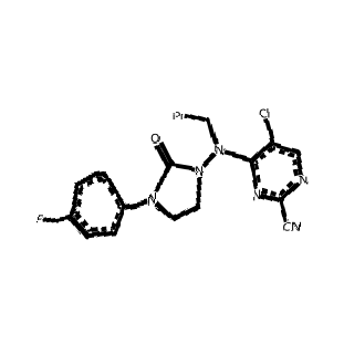 CC(C)CN(c1nc(C#N)ncc1Cl)N1CCN(c2ccc(F)cc2)C1=O